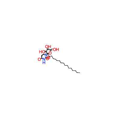 CCCCCCCCCCCCCCCC(=O)[C@@]1(n2ccc(=O)[nH]c2=O)O[C@H](CO)[C@@H](O)[C@H]1O